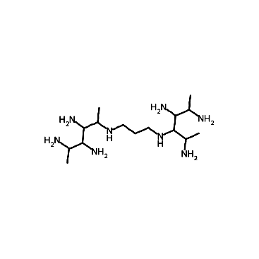 CC(N)C(N)C(N)C(C)NCCCNC(C(C)N)C(N)C(C)N